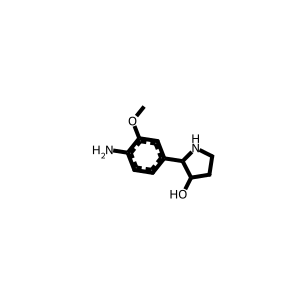 COc1cc(C2NCCC2O)ccc1N